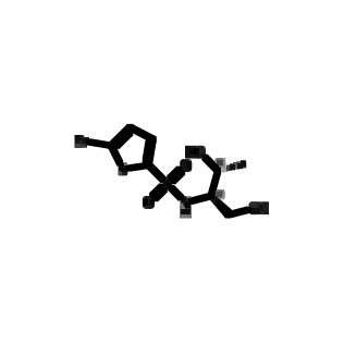 C[C@@H](O)[C@@H](CO)NS(=O)(=O)c1ccc(Br)s1